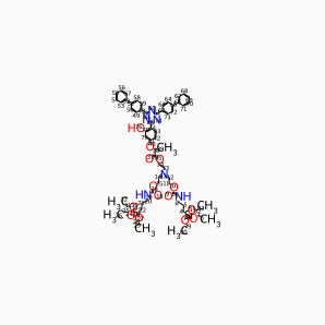 CCO[Si](CCCNC(=O)OCCN(CCOC(=O)NCCC[Si](OCC)(OCC)OCC)CCOC(=O)C(C)Oc1ccc(-c2nc(-c3ccc(-c4ccccc4)cc3)nc(-c3ccc(-c4ccccc4)cc3)n2)c(O)c1)(OCC)OCC